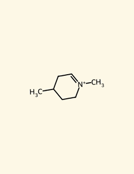 CC1CC=[N+](C)CC1